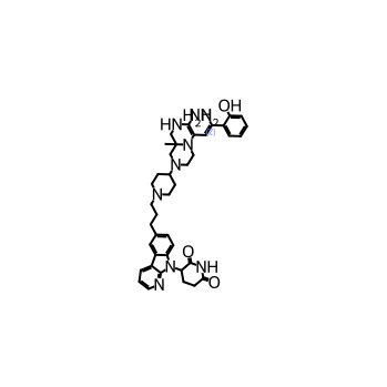 CC12CNC(N)=C(/C=C(\N)c3ccccc3O)N1CCN(C1CCN(CCCc3ccc4c(c3)c3cccnc3n4C3CCC(=O)NC3=O)CC1)C2